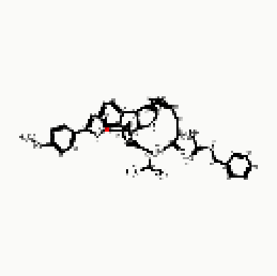 COc1ccc(-c2cnc(-c3nc4oc3[C@@]35c6ccccc6NC3Oc3ccc(cc35)C[C@H](NC(=O)OCc3ccccc3)C(=O)N[C@H]4C(C)C)o2)cc1